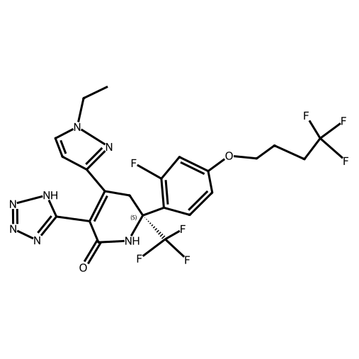 CCn1ccc(C2=C(c3nnn[nH]3)C(=O)N[C@@](c3ccc(OCCCC(F)(F)F)cc3F)(C(F)(F)F)C2)n1